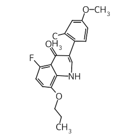 CCCOc1ccc(F)c2c(=O)c(-c3ccc(OC)cc3C)c[nH]c12